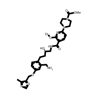 CCOc1nc(N2CCN(C(=O)OC)CC2)ccc1C(=O)NC[C@@H](O)CCc1ccc(OCc2ocnc2C)cc1CN